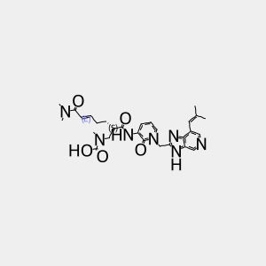 CC(C)=Cc1cncc2[nH]c(Cn3cccc(NC(=O)[C@@H](CC/C=C/C(=O)N(C)C)CN(C)C(=O)O)c3=O)nc12